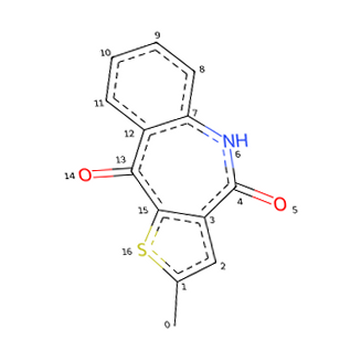 Cc1cc2c(=O)[nH]c3ccccc3c(=O)c2s1